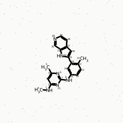 CNc1cc(C)nc(Nc2ccc(C)c(-c3cc4ccncc4[nH]3)c2)n1